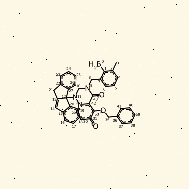 Bc1c(C)cccc1CN1CN(C23C(=Cc4ccccc42)Cc2ccccc23)n2ccc(=O)c(OCc3ccccc3)c2C1=O